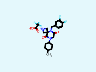 CC1CCC(N2CC(=O)N(Cc3ccc(F)c(F)c3)C3(CNC3)C2=O)CC1.O=C(O)C(F)(F)F